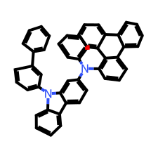 c1ccc(-c2cccc(-n3c4ccccc4c4ccc(N(c5ccccc5)c5cccc6c7ccccc7c7ccccc7c56)cc43)c2)cc1